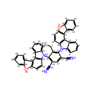 CCc1c(-n2c3ccccc3c3c4c(ccc32)oc2ccccc24)c(C#N)cc(C#N)c1-n1c2ccccc2c2c3c(ccc21)oc1ccccc13